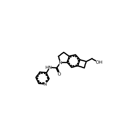 O=C(Nc1cccnc1)N1CCc2cc3c(cc21)CC3CO